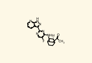 CC(=O)[C@H]1C2CCC(CC2)C1Nc1nc(-c2n[nH]c3ncccc23)ncc1F